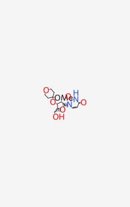 COC1(OC2C[C@@H](n3ccc(=O)[nH]c3=O)O[C@H]2CO)CCOCC1